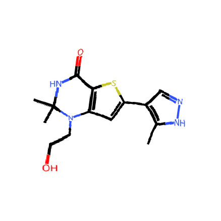 Cc1[nH]ncc1-c1cc2c(s1)C(=O)NC(C)(C)N2CCO